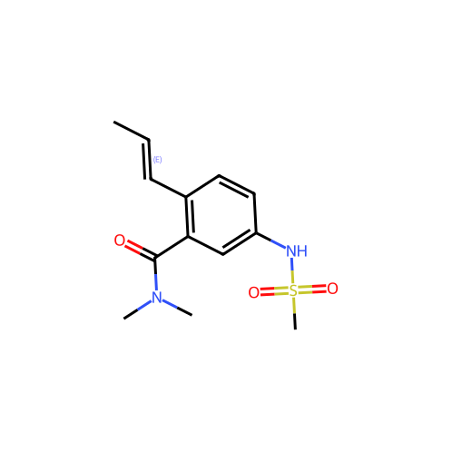 C/C=C/c1ccc(NS(C)(=O)=O)cc1C(=O)N(C)C